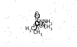 CC(C)Cc1ccc(N2CCOCC2)c(N=C(N)N(C)C)c1